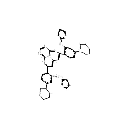 C1=NC2=NC(c3ccc(N4CCCCC4)cc3Nc3ccco3)=CC3=CC(c4ccc(C5CCCCC5)cc4Nc4ccco4)=NC(=N1)N32